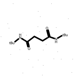 CC(C)(C)NC(=O)CCC(=O)NC(C)(C)C